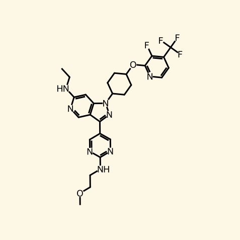 CCNc1cc2c(cn1)c(-c1cnc(NCCOC)nc1)nn2C1CCC(Oc2nccc(C(F)(F)F)c2F)CC1